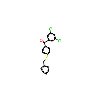 O=C(c1ccc(SCc2ccccc2)cc1)c1cc(Cl)cc(Cl)c1